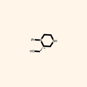 CC(C)N1CCNC[C@@H]1CO